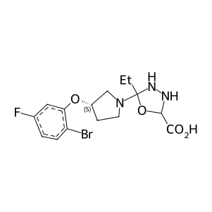 CCC1(N2CC[C@H](Oc3cc(F)ccc3Br)C2)NNC(C(=O)O)O1